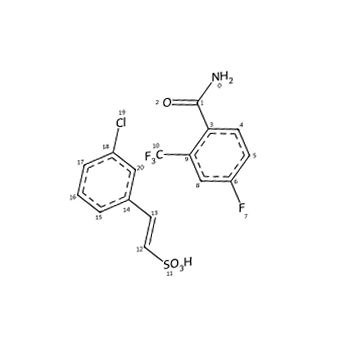 NC(=O)c1ccc(F)cc1C(F)(F)F.O=S(=O)(O)C=Cc1cccc(Cl)c1